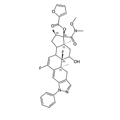 CON(C)C(=O)[C@@]1(OC(=O)c2ccco2)[C@H](C)CC2C3C=C(F)C4=Cc5c(cnn5-c5ccccc5)C[C@]4(C)[C@@]3(F)C(O)C[C@@]21C